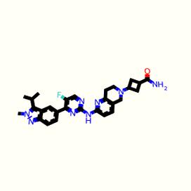 CC(C)c1c2cc(-c3nc(Nc4ccc5c(n4)CCN(C4CC(C(N)=O)C4)C5)ncc3F)ccc2nn1C